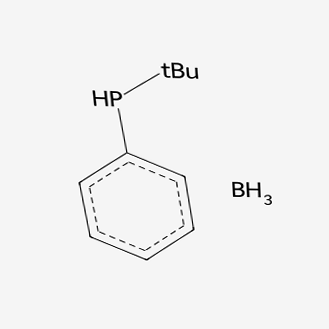 B.CC(C)(C)Pc1ccccc1